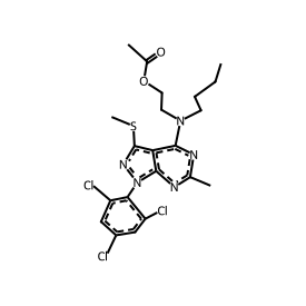 CCCCN(CCOC(C)=O)c1nc(C)nc2c1c(SC)nn2-c1c(Cl)cc(Cl)cc1Cl